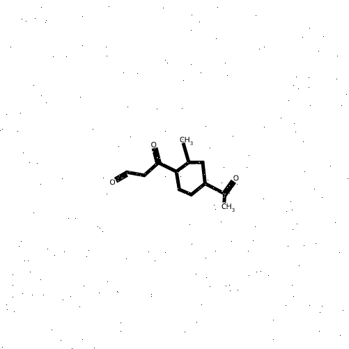 CC(=O)C1CCC(C(=O)CC=O)C(C)C1